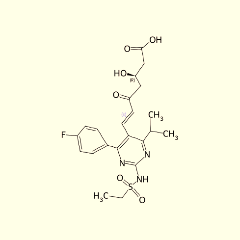 CCS(=O)(=O)Nc1nc(-c2ccc(F)cc2)c(/C=C/C(=O)C[C@@H](O)CC(=O)O)c(C(C)C)n1